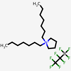 CCCCCCC[N+]1(CCCCCCC)CCCC1.F[B-](F)(F)C(F)(F)C(F)(F)F